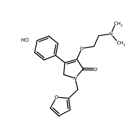 CN(C)CCOC1=C(c2ccccc2)CN(Cc2ccco2)C1=O.Cl